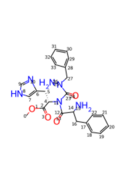 COC(=O)[C@H](Cc1c[nH]cn1)N(C(=O)C(N)Cc1ccccc1)C(=O)N(N)Cc1ccccc1